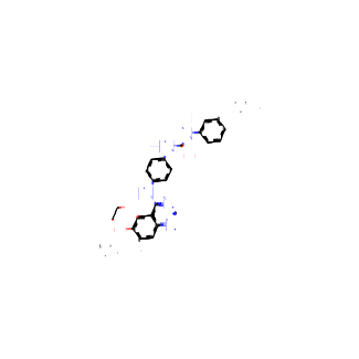 COc1cccc(NC(=O)Nc2ccc(Nc3ncnc4cc(OC)c5c(c34)OCCO5)cc2)c1